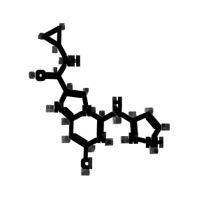 O=C(NC1CC1)c1cn2c(Nc3cc[nH]n3)nc(Cl)cc2n1